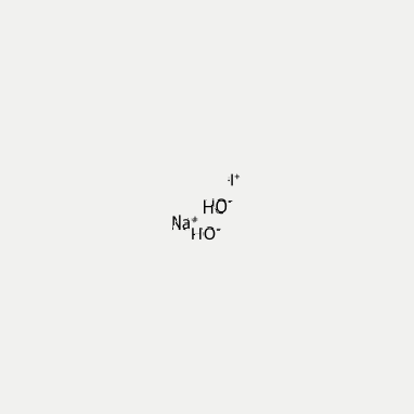 [I+].[Na+].[OH-].[OH-]